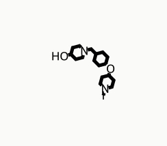 OC1CCN(CC2CCC(OC3CCN(I)CC3)CC2)CC1